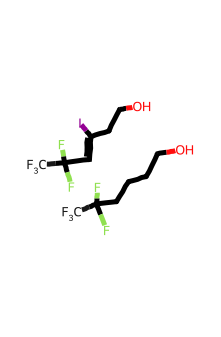 OCCC(I)=CC(F)(F)C(F)(F)F.OCCCCC(F)(F)C(F)(F)F